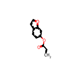 C=CC(=O)Oc1ccc2ccoc2c1